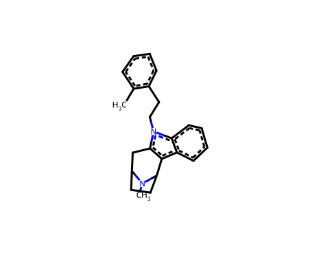 Cc1ccccc1CCn1c2c(c3ccccc31)C1CCC(C2)N1C